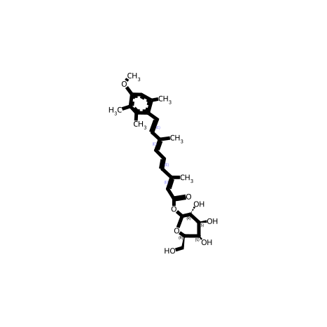 COc1cc(C)c(/C=C/C(C)=C/C=C/C(C)=C/C(=O)OC2O[C@H](CO)[C@@H](O)[C@H](O)[C@H]2O)c(C)c1C